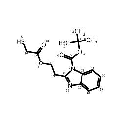 CC(C)(C)OC(=O)n1c(CCOC(=O)CS)nc2ccccc21